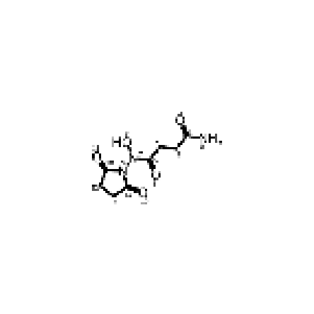 NC(=O)CCC(=O)N(O)N1C(=O)CCC1=O